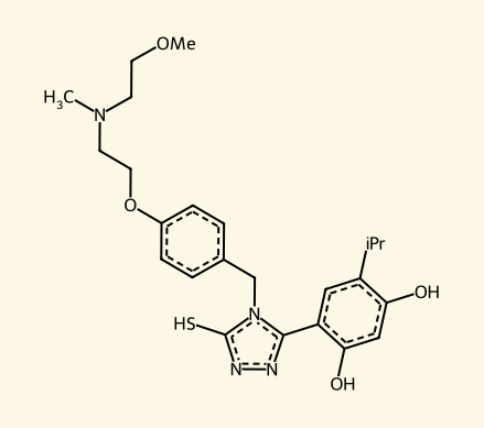 COCCN(C)CCOc1ccc(Cn2c(S)nnc2-c2cc(C(C)C)c(O)cc2O)cc1